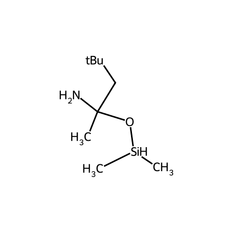 C[SiH](C)OC(C)(N)CC(C)(C)C